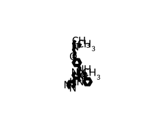 CCN(CC)CCOc1ccc(Nc2ncc(-c3cncnc3)c(Nc3ccccc3OC)n2)cc1